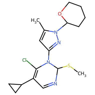 CSC1N=CC(C2CC2)=C(Cl)N1c1cc(C)n(C2CCCCO2)n1